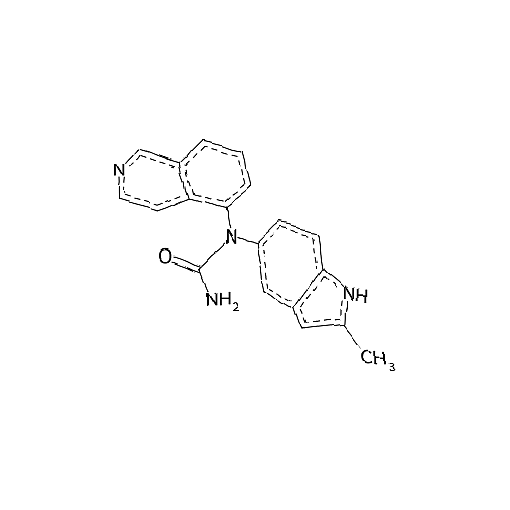 Cc1cc2cc(N(C(N)=O)c3cccc4cnccc34)ccc2[nH]1